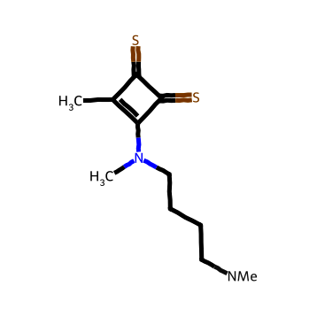 CNCCCCN(C)c1c(C)c(=S)c1=S